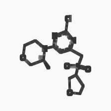 C[C@H]1COCCN1c1cc(CS(=O)(=O)C2CCOC2)nc(Cl)n1